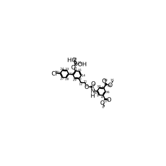 COC(=O)c1cc(NC(=O)OCCc2ccc(OB(O)O)c(-c3ccc(Cl)cc3)c2)cc(C(=O)OC)c1